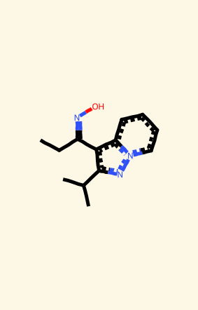 CC/C(=N/O)c1c(C(C)C)nn2ccccc12